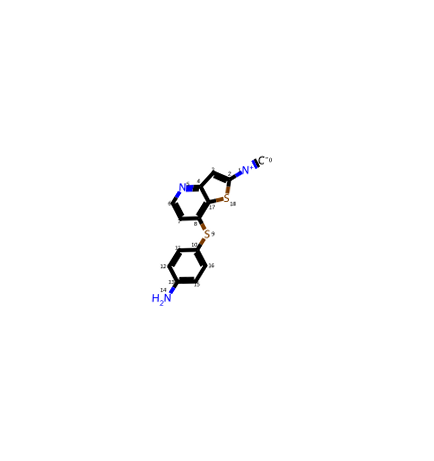 [C-]#[N+]c1cc2nccc(Sc3ccc(N)cc3)c2s1